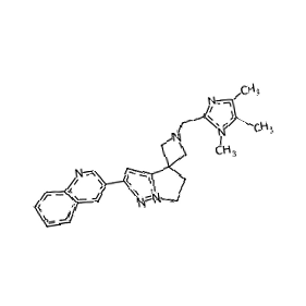 Cc1nc(CN2CC3(CCn4nc(-c5cnc6ccccc6c5)cc43)C2)n(C)c1C